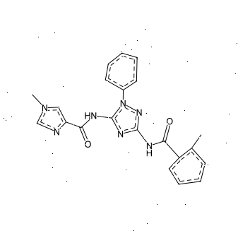 Cc1ccccc1C(=O)Nc1nc(NC(=O)c2cn(C)cn2)n(-c2ccccc2)n1